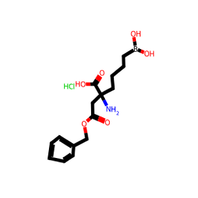 Cl.NC(CCCCB(O)O)(CC(=O)OCc1ccccc1)C(=O)O